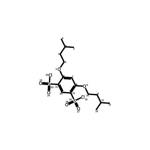 CC(C)CCOc1cc(OCCC(C)C)c(S(=O)(=O)Cl)cc1S(=O)(=O)Cl